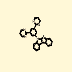 c1cnc(-c2cc(-c3ncccn3)cc(-n3c4ccccc4c4c5ccccc5sc43)c2)nc1